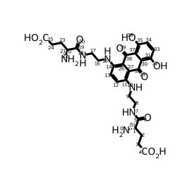 N[C@@H](CCC(=O)O)C(=O)NCCNc1ccc(NCCNC(=O)[C@@H](N)CCC(=O)O)c2c1C(=O)c1c(O)ccc(O)c1C2=O